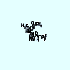 C=CC(=O)N1CC[C@H](Nc2cnc3[nH]cc(C(=O)NCC4CC(F)(F)C4)c3n2)[C@H](OC)C1